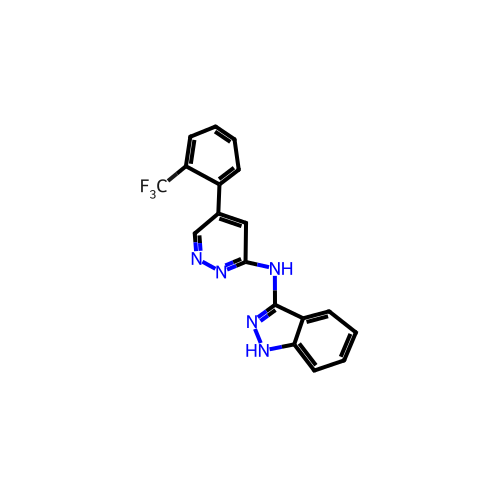 FC(F)(F)c1ccccc1-c1cnnc(Nc2n[nH]c3ccccc23)c1